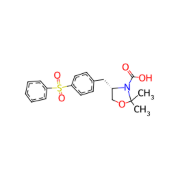 CC1(C)OC[C@H](Cc2ccc(S(=O)(=O)c3ccccc3)cc2)N1C(=O)O